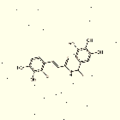 CC(NC(=S)/C=C/c1ccc(O)c(O)c1Br)c1cc(O)c(O)c(O)c1